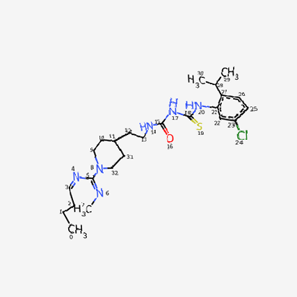 CCC/C=N\C(=N/C)N1CCC(CCNC(=O)NC(=S)Nc2cc(Cl)ccc2C(C)C)CC1